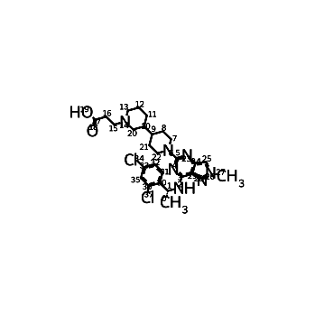 C[C@@H](Nc1nc(N2CCC(C3CCCN(CCC(=O)O)C3)CC2)nc2cn(C)nc12)c1ccc(Cl)cc1Cl